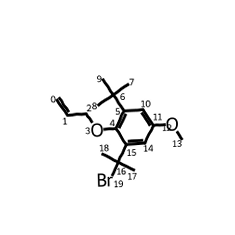 C=CCOc1c(C(C)(C)C)cc(OC)cc1C(C)(C)Br